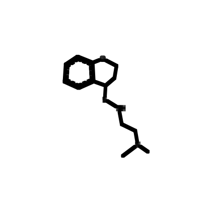 CN(C)CCNSC1CCOc2ccccc21